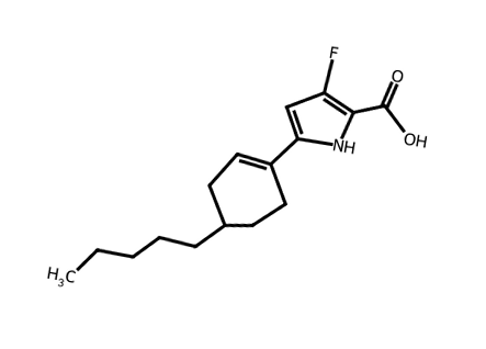 CCCCCC1CC=C(c2cc(F)c(C(=O)O)[nH]2)CC1